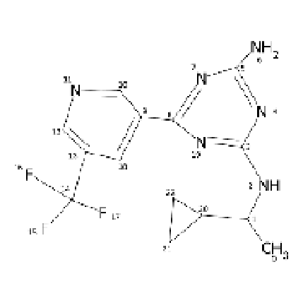 CC(Nc1nc(N)nc(-c2cncc(C(F)(F)F)c2)n1)C1CC1